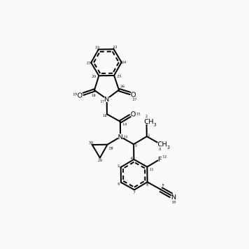 CC(C)C(c1cccc(C#N)c1F)N(C(=O)CN1C(=O)c2ccccc2C1=O)C1CC1